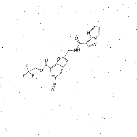 N#Cc1cc(C(=O)OCC(F)(F)F)c2oc(CNC(=O)c3cnn4cccnc34)cc2c1